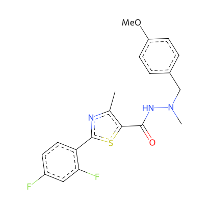 COc1ccc(CN(C)NC(=O)c2sc(-c3ccc(F)cc3F)nc2C)cc1